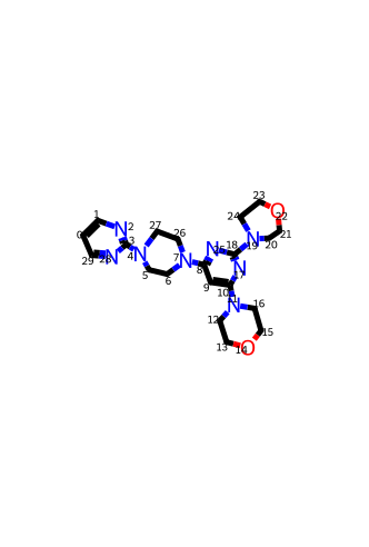 c1cnc(N2CCN(c3cc(N4CCOCC4)nc(N4CCOCC4)n3)CC2)nc1